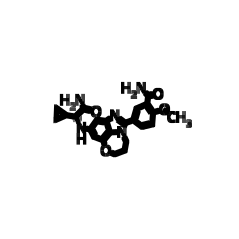 COc1ccc(-c2nc3cc(N[C@H](C(N)=O)C4CC4)cc4c3n2CCCO4)cc1C(N)=O